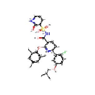 Cc1cc(C)c(Oc2nc(-c3cc(OCC(C)C)ccc3Cl)ccc2C(=O)NS(=O)(=O)c2ccc[nH]c2=O)c(C)c1